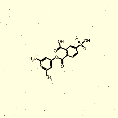 Cc1cc(C)cc(OC(=O)c2ccc(S(=O)(=O)O)cc2C(=O)O)c1